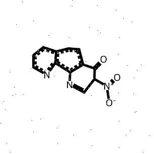 O=C1c2ccc3cccnc3c2N=CC1[N+](=O)[O-]